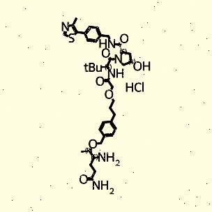 Cc1ncsc1-c1ccc(CNC(=O)[C@@H]2C[C@@H](O)CN2C(=O)[C@@H](NC(=O)COCCCc2ccc(CO[C@H](C)[C@@H](N)CCC(N)=O)cc2)C(C)(C)C)cc1.Cl